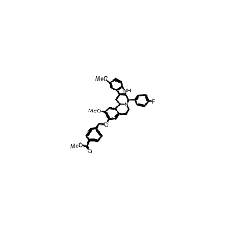 COC(=O)c1ccc(COc2cc3c(cc2OC)C2Cc4c([nH]c5ccc(OC)cc45)C(c4ccc(F)cc4)N2CC3)cc1